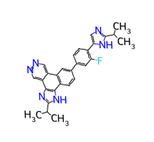 CC(C)c1ncc(-c2ccc(-c3ccc4c(c3)c3cnncc3c3nc(C(C)C)[nH]c43)cc2F)[nH]1